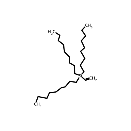 C=C[Si](CCCCCCCCC)(CCCCCCCCC)CCCCCCCCC